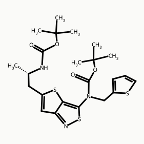 C[C@@H](Cc1cc2nsc(N(Cc3cccs3)C(=O)OC(C)(C)C)c2s1)NC(=O)OC(C)(C)C